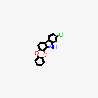 Clc1ccc2c(c1)[nH]c1c3c(ccc12)Oc1ccccc1O3